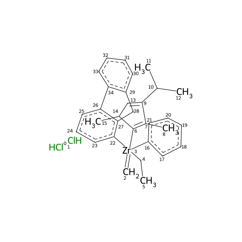 Cl.Cl.[CH2]=[Zr]([CH2]C)([C]1=C(C)C(C(C)C)=CC1C)([c]1ccccc1)[c]1cccc2c1Cc1ccccc1-2